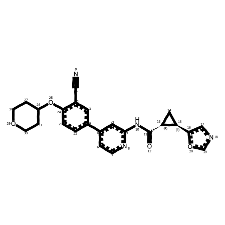 N#Cc1cc(-c2ccnc(NC(=O)[C@@H]3C[C@H]3c3cnco3)c2)ccc1OC1CCOCC1